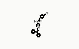 C[N+]1(CCC(c2ccccc2)c2ccccc2)CCC(NC(=O)Cc2ccc(C#N)cc2)CC1